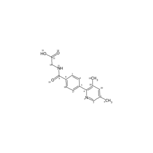 Cc1cnc(-c2ccc(C(=O)NCC(=O)O)cc2)c(C)c1